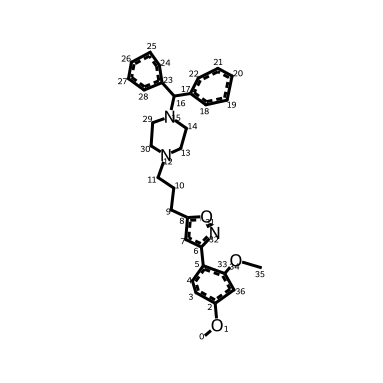 COc1ccc(-c2cc(CCCN3CCN(C(c4ccccc4)c4ccccc4)CC3)on2)c(OC)c1